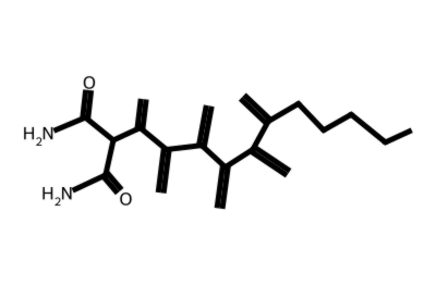 C=C(CCCCC)C(=C)C(=C)C(=C)C(=C)C(=C)C(C(N)=O)C(N)=O